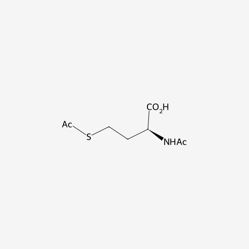 CC(=O)N[C@@H](CCSC(C)=O)C(=O)O